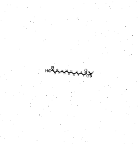 CC(C)(C)OC(=O)CCCCCCCCCCCCCC(=O)O